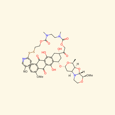 COc1cccc2c1C(=O)c1c(O)c3c(c(O)c1C2=O)C[C@@](O)(C(=O)COC(=O)N(C)CCN(C)C(=O)OCCSSc1ccc(N=O)cn1)C[C@@H]3O[C@H]1C[C@H]2[C@H](O[C@@H]3[C@@H](OC)OCCN32)[C@H](C)O1